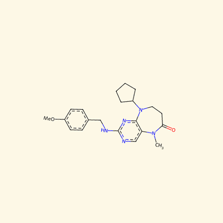 COc1ccc(CNc2ncc3c(n2)N(C2CCCC2)CCC(=O)N3C)cc1